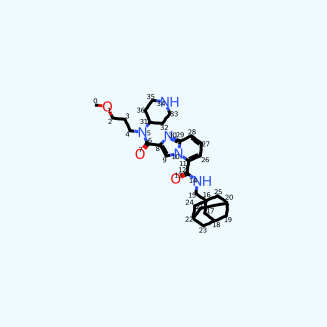 COCCCN(C(=O)c1cn2c(C(=O)NCC34CC5CC(CC(C5)C3)C4)cccc2n1)C1CCNCC1